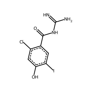 N=C(N)NC(=O)c1cc(I)c(O)cc1Cl